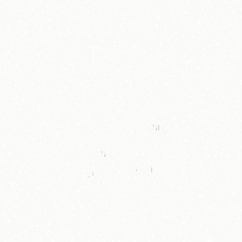 CCn1c(C(=O)O)c(N)c2cc(Cl)ccc21